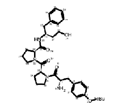 CCCCOc1ccc(C[C@H](N)C(=O)N2CCC[C@H]2C(=O)N2CCC[C@H]2C(=O)N[C@H](CCO)Cc2ccccc2)cc1